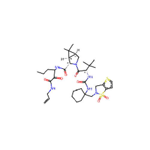 C=CCNC(=O)C(=O)C(CCC)NC(=O)[C@@H]1[C@@H]2[C@H](CN1C(=O)[C@@H](NC(=O)NC1(CN3Cc4sccc4S3(=O)=O)CCCCC1)C(C)(C)C)C2(C)C